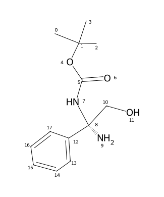 CC(C)(C)OC(=O)N[C@@](N)(CO)c1ccccc1